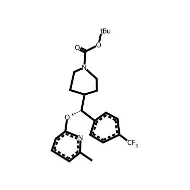 Cc1cccc(O[C@@H](c2ccc(C(F)(F)F)cc2)C2CCN(C(=O)OC(C)(C)C)CC2)n1